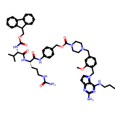 CCCCCNc1nc(N)nc2ccn(Cc3ccc(CN4CCN(C(=O)OCc5ccc(NC(=O)[C@H](CCCNC(N)=O)NC(=O)[C@@H](NC(=O)OCC6c7ccccc7-c7ccccc76)C(C)C)cc5)CC4)cc3OC)c12